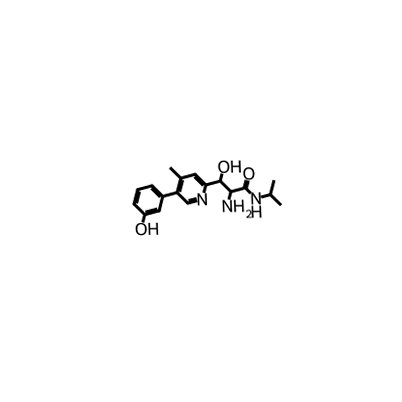 Cc1cc(C(O)C(N)C(=O)NC(C)C)ncc1-c1cccc(O)c1